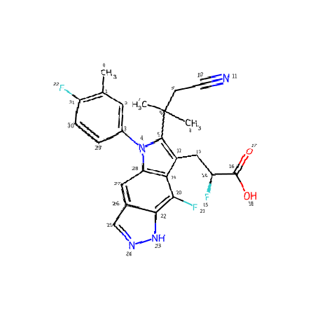 Cc1cc(-n2c(C(C)(C)CC#N)c(C[C@H](F)C(=O)O)c3c(F)c4[nH]ncc4cc32)ccc1F